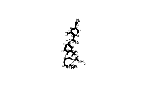 CC(C)(/N=C(/N)N1CCCCN=[SH]1=O)c1cc(NC(=O)c2ncc(C#N)cc2Cl)ccc1F